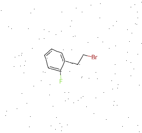 Fc1ccccc1[CH]CBr